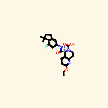 CCOc1ccc2c(n1)CCN(C(=O)O)[C@@H]2C(=O)Nc1cc(F)c2c(c1)CCC2(C)C